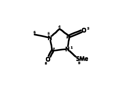 CSN1C(=O)CN(C)C1=O